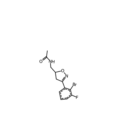 CC(=O)NCC1CC(c2cccc(F)c2Br)=NO1